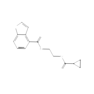 O=C(NCCNC(=O)C1CC1)c1cccc2occc12